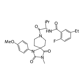 CCc1ccc(F)c(C(=O)NC(C(=O)N2CCC3(CC2)C(=O)N(C)C(=O)N3c2ccc(OC)cc2)C(C)C)c1